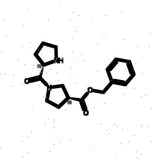 O=C(OCc1ccccc1)[C@H]1CCN(C(=O)[C@@H]2CCCN2)C1